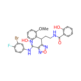 COc1ccccc1C(CCNC(=O)c1ccccc1O)c1nonc1C(=NO)Nc1ccc(F)c(Br)c1